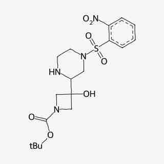 CC(C)(C)OC(=O)N1CC(O)(C2CN(S(=O)(=O)c3ccccc3[N+](=O)[O-])CCN2)C1